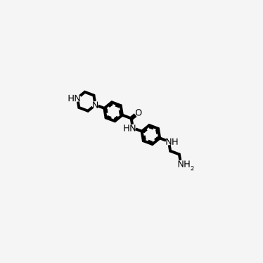 NCCNc1ccc(NC(=O)c2ccc(N3CCNCC3)cc2)cc1